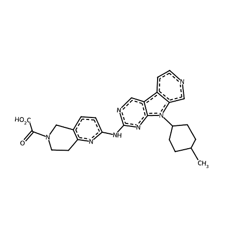 CC1CCC(n2c3cnccc3c3cnc(Nc4ccc5c(n4)CCN(C(=O)C(=O)O)C5)nc32)CC1